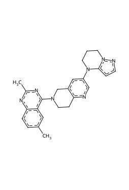 Cc1ccc2nc(C)nc(N3CCc4ncc(N5CCCn6nccc65)cc4C3)c2c1